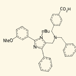 CCCCn1c(-c2cccc(OC)c2)nc(-c2ccccc2)c1CN(Cc1ccccc1)Cc1ccc(C(=O)O)cc1